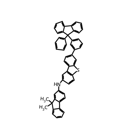 CC1(C)c2ccccc2-c2ccc(Nc3ccc4sc5cc(-c6cccc(C7(c8ccccc8)c8ccccc8-c8ccccc87)c6)ccc5c4c3)cc21